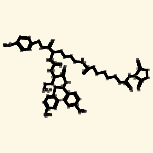 COc1ccc(COC(=O)C(CCCCNC(=O)CCCCCCC(=O)ON2C(=O)CCC2=O)NC(=O)NC(CCC(=O)O)C(=O)OC(Cc2ccc(OC)cc2)c2ccc(OC)cc2)cc1